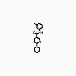 Cc1cccc(NC(=O)c2ccc(N3CCCCC3)nc2)n1